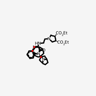 CCOC(=O)[C@@H]1CN(CCNc2nc3ccccc3n(C3CC4CCC(C3)N4C3CCCCCCC3)c2=O)C[C@H]1C(=O)OCC